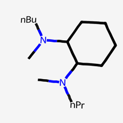 CCCCN(C)C1CCCCC1N(C)CCC